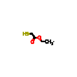 [CH2]COC(=O)CS